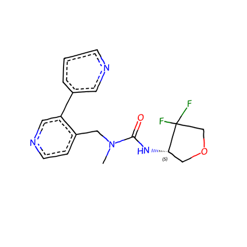 CN(Cc1ccncc1-c1cccnc1)C(=O)N[C@H]1COCC1(F)F